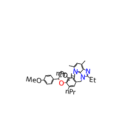 CCCc1cc(Cn2c(CC)nc3c(C)cc(C)nc32)cc(CCC)c1OC(C(=O)O)c1ccc(OC)cc1